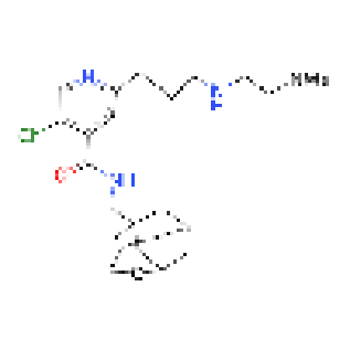 CNCCNCCCc1cc(C(=O)NCC23CC4CC(CC(C4)C2)C3)c(Cl)cn1